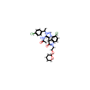 CC(c1ccc(Cl)cc1)n1nnc2c1NC(=O)C[C@]21C(=O)N(CCOC2CCCCO2)c2ccc(Cl)cc21